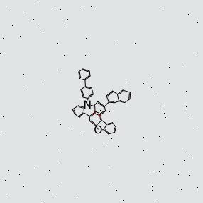 c1ccc(-c2ccc(N(c3cccc(-c4ccc5ccccc5c4)c3)c3ccccc3-c3ccc4c(c3)oc3ccccc34)cc2)cc1